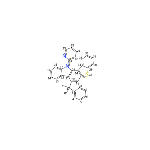 CC1(C)c2ccccc2-c2c1c1c3ccccc3n(-c3ccccn3)c1c1c2sc2ccccc21